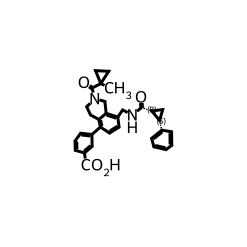 CC1(C(=O)N2CCc3c(-c4cccc(C(=O)O)c4)ccc(CNC(=O)[C@@H]4C[C@@H]4c4ccccc4)c3C2)CC1